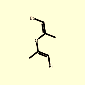 CCC=C(C)OC(C)=CCC